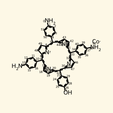 Nc1ccc(-c2c3nc(c(-c4ccc(N)cc4)c4ccc([nH]4)c(-c4ccc(O)cc4)c4nc(c(-c5ccc(N)cc5)c5ccc2[nH]5)C=C4)C=C3)cc1.[Co]